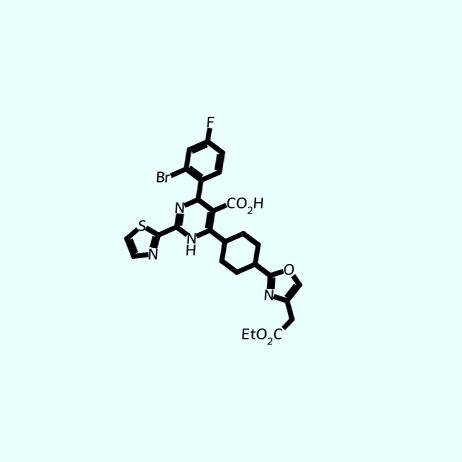 CCOC(=O)Cc1coc(C2CCC(C3=C(C(=O)O)C(c4ccc(F)cc4Br)N=C(c4nccs4)N3)CC2)n1